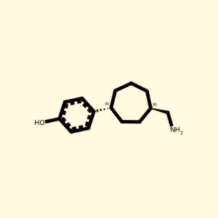 NC[C@@H]1CCC[C@@H](c2ccc(O)cc2)CC1